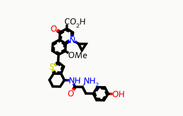 COc1c(-c2cc3c(s2)CCCC3NC(=O)[C@H](N)Cc2ccc(O)cc2)ccc2c(=O)c(C(=O)O)cn(C3CC3)c12